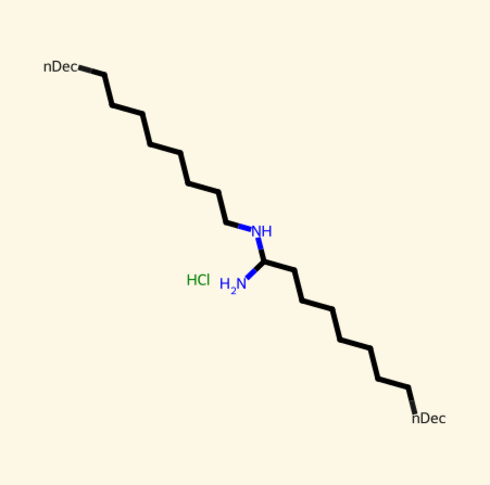 CCCCCCCCCCCCCCCCCCNC(N)CCCCCCCCCCCCCCCCC.Cl